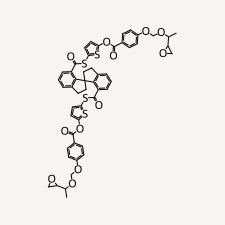 CC(OCOc1ccc(C(=O)Oc2ccc(SC(=O)c3cccc4c3C3(CC4)CCc4cccc(C(=O)Sc5ccc(OC(=O)c6ccc(OCOC(C)C7CO7)cc6)s5)c43)s2)cc1)C1CO1